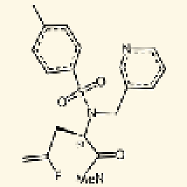 C=C(F)C[C@H](C(=O)NC)N(Cc1cccnc1)S(=O)(=O)c1ccc(C)cc1